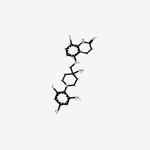 Cc1cc(Cl)cc(F)c1N1CCC(O)(COc2ccc(F)c3c2CCC(=O)N3)CC1